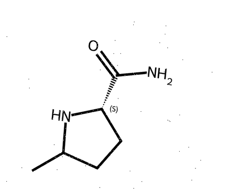 CC1CC[C@@H](C(N)=O)N1